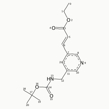 CCOC(=O)/C=C/c1cncc(CNC(=O)OC(C)(C)C)c1